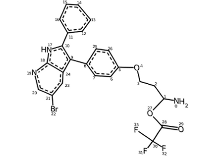 NC(CCOc1ccc(-c2c(-c3ccccc3)[nH]c3ncc(Br)cc23)cc1)OC(=O)C(F)(F)F